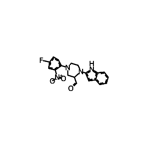 O=CC1CN(c2ccc(F)cc2[N+](=O)[O-])CCN1c1cc2ccccc2[nH]1